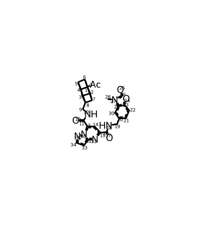 CC(=O)C12C3C4C1C1C2C3C41CNC(=O)c1cc(C(=O)NCc2ccc3oc(=O)n(C)c3c2)nc2ccnn12